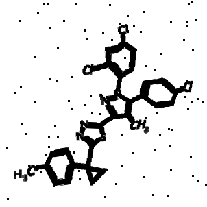 Cc1ccc(C2(c3nnc(-c4nn(-c5ccc(Cl)cc5Cl)c(-c5ccc(Cl)cc5)c4C)s3)CC2)cc1